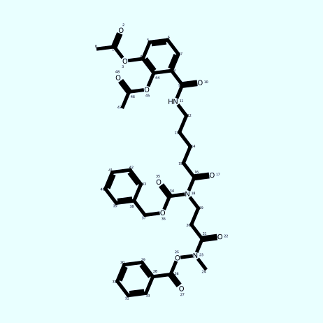 CC(=O)Oc1cccc(C(=O)NCCCCC(=O)N(CCC(=O)N(C)OC(=O)c2ccccc2)C(=O)OCc2ccccc2)c1OC(C)=O